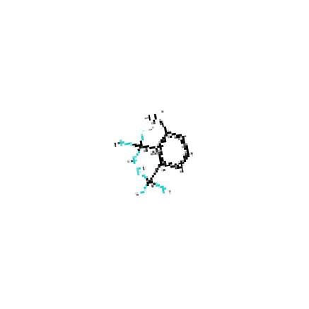 Cc1c[c]cc(C(F)(F)F)c1C(F)(F)F